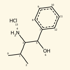 CC(C)C(N)C(O)c1ccccc1.Cl